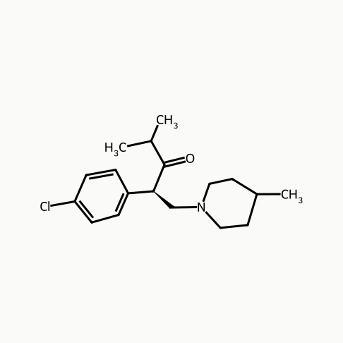 CC1CCN(C[C@H](C(=O)C(C)C)c2ccc(Cl)cc2)CC1